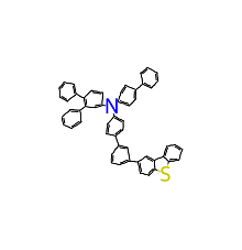 c1ccc(-c2ccc(N(c3ccc(-c4cccc(-c5ccc6sc7ccccc7c6c5)c4)cc3)c3ccc(-c4ccccc4)c(-c4ccccc4)c3)cc2)cc1